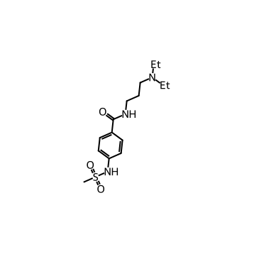 CCN(CC)CCCNC(=O)c1ccc(NS(C)(=O)=O)cc1